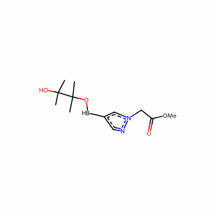 COC(=O)Cn1cc(BOC(C)(C)C(C)(C)O)cn1